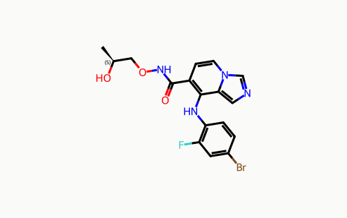 C[C@H](O)CONC(=O)c1ccn2cncc2c1Nc1ccc(Br)cc1F